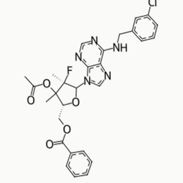 CC(=O)OC1(C)[C@@H](COC(=O)c2ccccc2)OC(n2cnc3c(NCc4cccc(Cl)c4)ncnc32)[C@]1(C)F